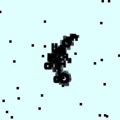 Cc1nn(C2CCN(C(C)C)CC2)cc1Nc1ncc(C(F)(F)F)c(NCCCN2CCCCCC2=O)n1